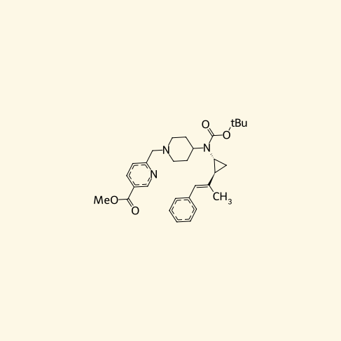 COC(=O)c1ccc(CN2CCC(N(C(=O)OC(C)(C)C)[C@@H]3C[C@H]3C(C)=Cc3ccccc3)CC2)nc1